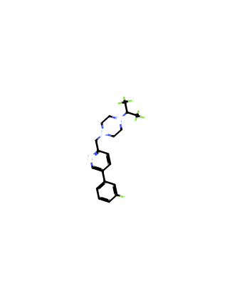 Fc1cccc(-c2ccc(CN3CCN(C(C(F)(F)F)C(F)(F)F)CC3)nc2)c1